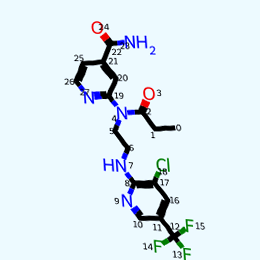 CCC(=O)N(CCNc1ncc(C(F)(F)F)cc1Cl)c1cc(C(N)=O)ccn1